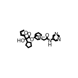 O=C(C[N+]12CCC(CC1)C(OC(=O)[C@](O)(c1ccco1)C1CCCC1)C2)Nc1cncnc1